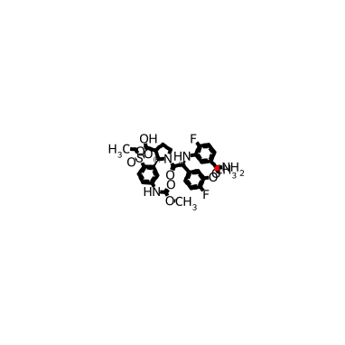 CCS(=O)(=O)c1ccc(NC(=O)OC)cc1[C@H]1C(C(=O)O)CCN1C(=O)[C@@H](Nc1cc(C(N)=O)ccc1F)c1ccc(F)c(OC)c1